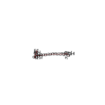 O=C(O)CCC(NC(=O)CCOCCOCCOCCOCCOCCOCCOCCOCCOCCOCCOCCOCCNC(=O)CNC(=O)CNC(=O)c1cc(N2C(=O)C=CC2=O)ccc1CCC(=O)Oc1c(F)c(F)cc(F)c1F)C(=O)O